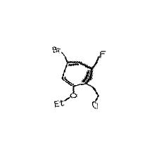 CCOc1cc(Br)cc(F)c1CCl